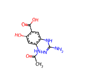 CC(=O)Nc1cc(O)c(C(=O)O)cc1NC(=N)N